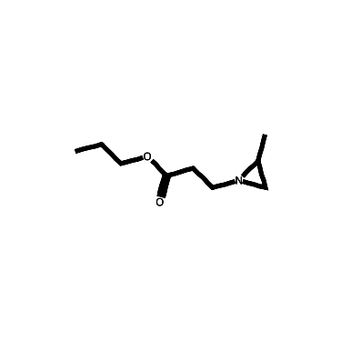 CCCOC(=O)CCN1CC1C